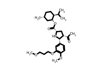 COCCCOc1cc([C@@H]2N[C@H](C(=O)O[C@@H]3C[C@H](C)CC[C@H]3C(C)C)C[C@@H]2C(C)=O)ccc1OC